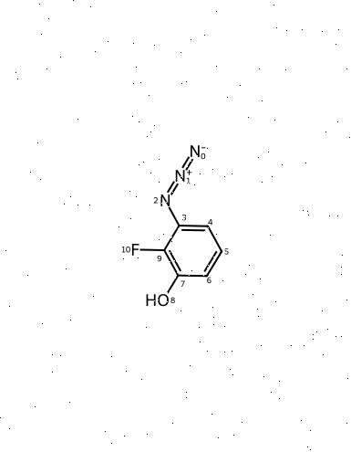 [N-]=[N+]=Nc1cccc(O)c1F